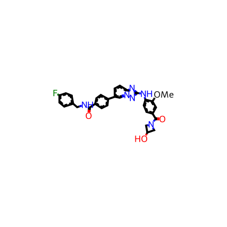 COc1cc(C(=O)N2CC(O)C2)ccc1Nc1nc2ccc(-c3ccc(C(=O)NCc4ccc(F)cc4)cc3)cn2n1